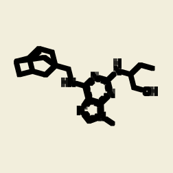 CCC(CO)Nc1nc(NCC23CC=C4C(CC4C2)C3)c2ncn(C)c2n1